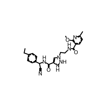 CCc1ccc(C(C#N)NC(=O)C2=CN(CCNC(=O)c3ccc(C)nc3OC)NN2)cc1